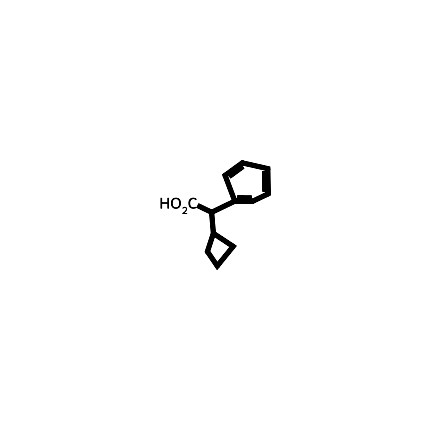 O=C(O)C(c1ccccc1)C1CCC1